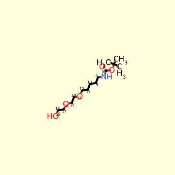 CC(C)(C)OC(=O)NCCCCCOCCOCCO